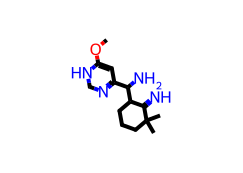 COC1=CC(C(N)C2CCCC(C)(C)C2=N)=NCN1